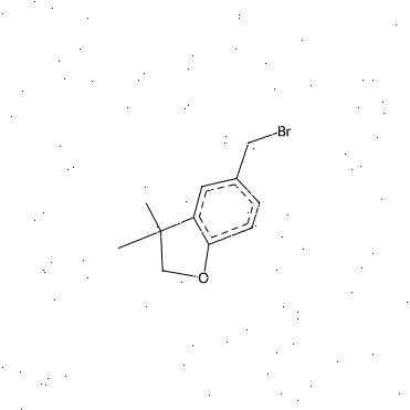 CC1(C)COc2ccc(CBr)cc21